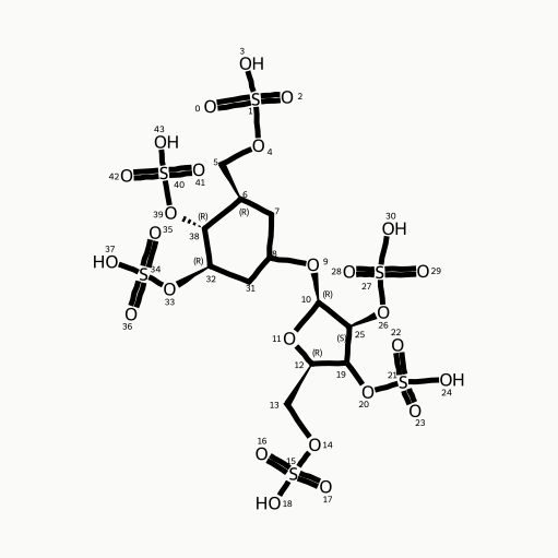 O=S(=O)(O)OC[C@H]1CC(O[C@@H]2O[C@H](COS(=O)(=O)O)C(OS(=O)(=O)O)[C@@H]2OS(=O)(=O)O)C[C@@H](OS(=O)(=O)O)[C@@H]1OS(=O)(=O)O